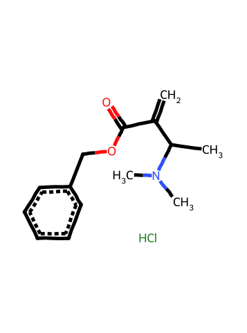 C=C(C(=O)OCc1ccccc1)C(C)N(C)C.Cl